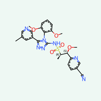 COc1cccc(OC)c1-n1c(NS(=O)(=O)[C@H](C)[C@@H](OC)c2ccc(C#N)cn2)nnc1-c1cncc(C)c1